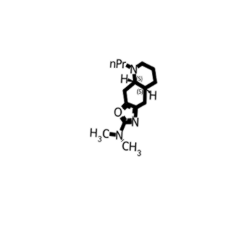 CCCN1CCC[C@H]2Cc3nc(N(C)C)oc3C[C@@H]21